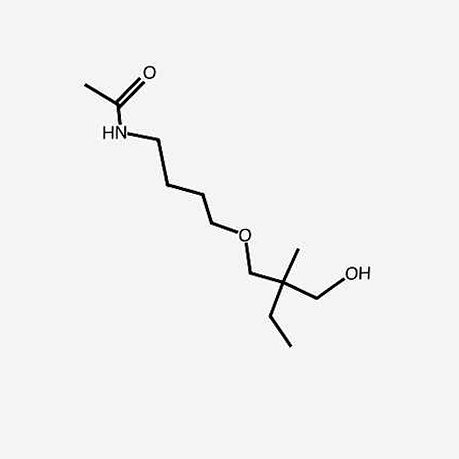 CCC(C)(CO)COCCCCNC(C)=O